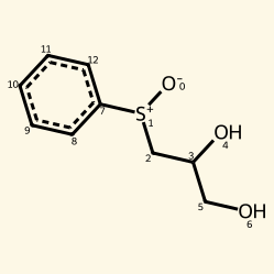 [O-][S+](CC(O)CO)c1ccccc1